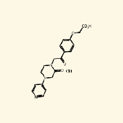 Cl.O=C(O)COc1ccc(C(=O)CN2CCN(c3ccncc3)CC2=O)cc1